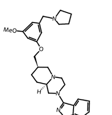 COc1cc(CN2CCCC2)cc(OC[C@@H]2CC[C@@H]3CN(c4noc5ccccc45)CCN3C2)c1